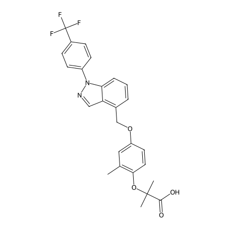 Cc1cc(OCc2cccc3c2cnn3-c2ccc(C(F)(F)F)cc2)ccc1OC(C)(C)C(=O)O